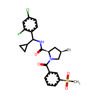 CC[C@@H]1C[C@H](C(=O)NC(c2ccc(Cl)cc2F)C2CC2)N(C(=O)c2cccc(S(C)(=O)=O)c2)C1